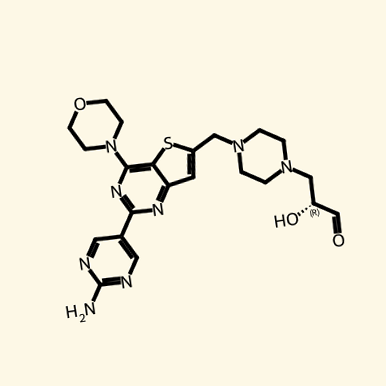 Nc1ncc(-c2nc(N3CCOCC3)c3sc(CN4CCN(C[C@@H](O)C=O)CC4)cc3n2)cn1